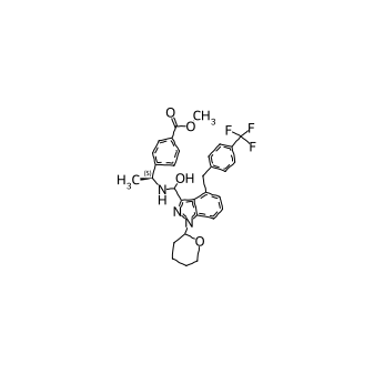 COC(=O)c1ccc([C@H](C)NC(O)c2nn(C3CCCCO3)c3cccc(Cc4ccc(C(F)(F)F)cc4)c23)cc1